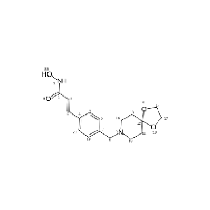 O=C(C=Cc1ccc(CN2CCC3(CC2)OCCO3)cc1)NO